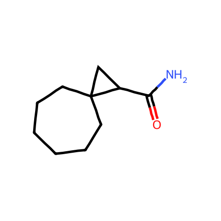 NC(=O)C1CC12CCCCCC2